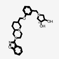 OC1CN(Cc2cccc(OCC3CCC4CN(c5noc6ccccc56)CCN4C3)c2)C[C@@H]1O